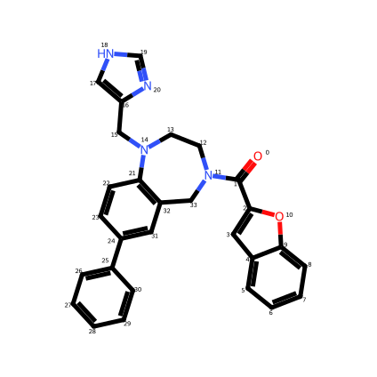 O=C(c1cc2ccccc2o1)N1CCN(Cc2c[nH]cn2)c2ccc(-c3ccccc3)cc2C1